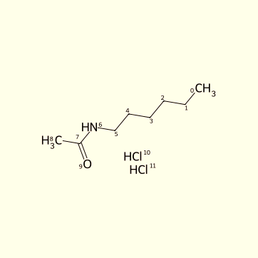 CCCCCCNC(C)=O.Cl.Cl